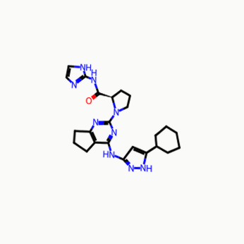 O=C(Nc1ncc[nH]1)[C@H]1CCCN1c1nc2c(c(Nc3cc(C4CCCCC4)[nH]n3)n1)CCC2